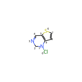 ClN1CN=Cc2sccc21